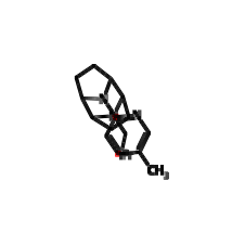 Cc1ccc(N2C3CCC2C2CCC3N2CC(C)C)nc1